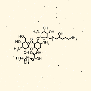 N=C(N)NC1CC1(O)C(=O)N[C@@H]1C[C@H](N)C(O[C@H]2O[C@H](CNCC(O)CCCN)[C@@H](O)[C@H](O)[C@H]2N)[C@H](O)[C@H]1O[C@H]1O[C@H](CO)[C@@H](O)[C@H](N)[C@H]1O